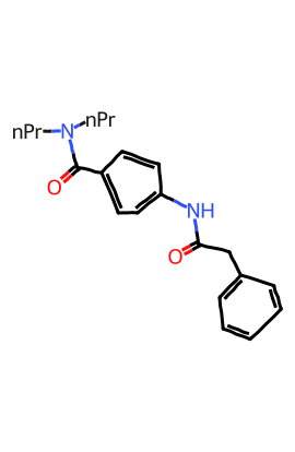 CCCN(CCC)C(=O)c1ccc(NC(=O)Cc2ccccc2)cc1